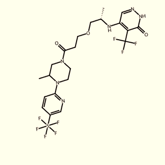 CC1CN(C(=O)CCOC[C@H](C)Nc2cn[nH]c(=O)c2C(F)(F)F)CCN1c1ccc(S(F)(F)(F)(F)F)cn1